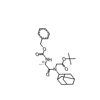 C[C@H](NC(=O)OCc1ccccc1)C(=O)N(CC(=O)OC(C)(C)C)C1C2CC3CC(C2)CC1C3